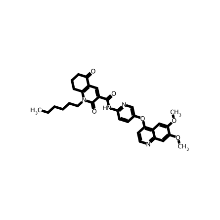 CCCCCCn1c2c(cc(C(=O)Nc3ccc(Oc4ccnc5cc(OC)c(OC)cc45)cn3)c1=O)C(=O)CCC2